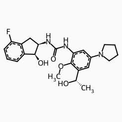 COc1c(NC(=O)N[C@@H]2Cc3c(F)cccc3[C@@H]2O)cc(N2CCCC2)cc1[C@H](C)O